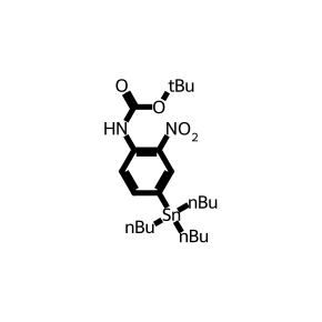 CCC[CH2][Sn]([CH2]CCC)([CH2]CCC)[c]1ccc(NC(=O)OC(C)(C)C)c([N+](=O)[O-])c1